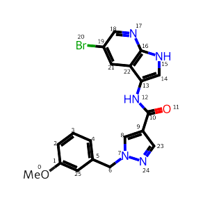 COc1cccc(Cn2cc(C(=O)Nc3c[nH]c4ncc(Br)cc34)cn2)c1